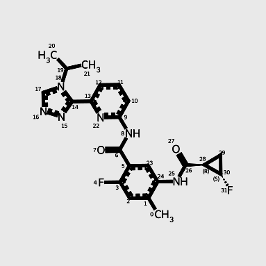 Cc1cc(F)c(C(=O)Nc2cccc(-c3nncn3C(C)C)n2)cc1NC(=O)[C@H]1C[C@@H]1F